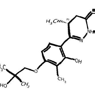 Cc1c(OCC(C)(C)O)ccc(C2=NNC(=O)C[C@H]2C)c1O